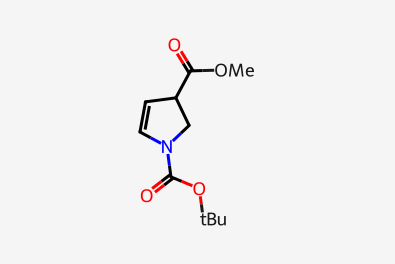 COC(=O)C1C=CN(C(=O)OC(C)(C)C)C1